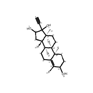 C#CC1(O)C(O)C[C@H]2[C@@H]3CCC4=C(F)C(OC(C)=O)CC[C@]4(C)[C@@H]3CC[C@@]21C